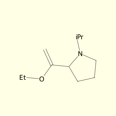 C=C(OCC)C1CCCN1C(C)C